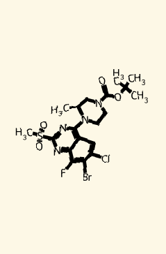 C[C@H]1CN(C(=O)OC(C)(C)C)CCN1c1nc(S(C)(=O)=O)nc2c(F)c(Br)c(Cl)cc12